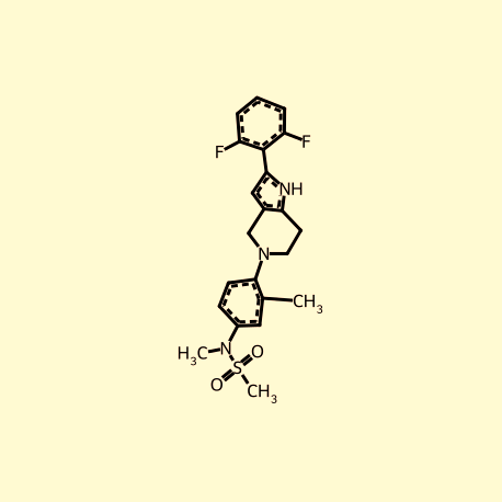 Cc1cc(N(C)S(C)(=O)=O)ccc1N1CCc2[nH]c(-c3c(F)cccc3F)cc2C1